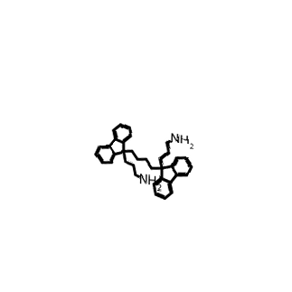 NCCCC1(CCCCC2(CCCN)c3ccccc3-c3ccccc32)c2ccccc2-c2ccccc21